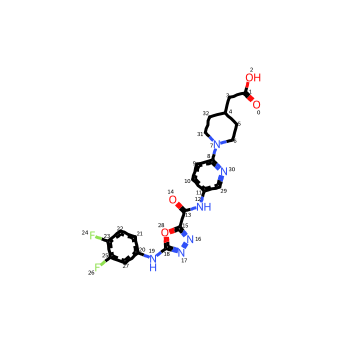 O=C(O)CC1CCN(c2ccc(NC(=O)c3nnc(Nc4ccc(F)c(F)c4)o3)cn2)CC1